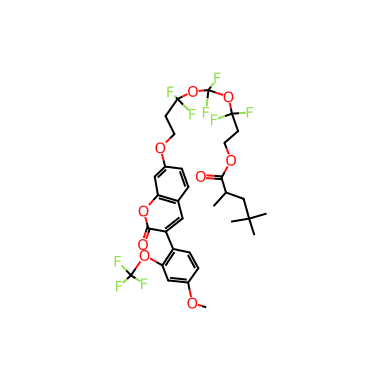 COc1ccc(-c2cc3ccc(OCCC(F)(F)OC(F)(F)OC(F)(F)CCOC(=O)C(C)CC(C)(C)C)cc3oc2=O)c(OC(F)(F)F)c1